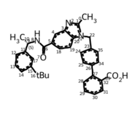 Cc1nc2cc(C(=O)N[C@@H](C)c3cccc(C(C)(C)C)c3)ccc2n1Cc1ccc(-c2ccccc2C(=O)O)cc1